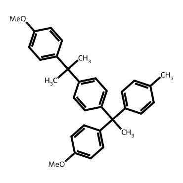 COc1ccc(C(C)(C)c2ccc(C(C)(c3ccc(C)cc3)c3ccc(OC)cc3)cc2)cc1